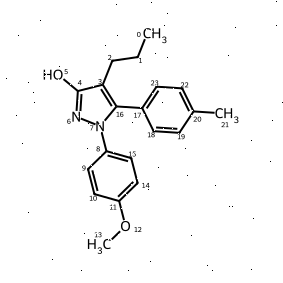 CCCc1c(O)nn(-c2ccc(OC)cc2)c1-c1ccc(C)cc1